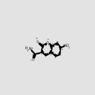 NC(=O)c1cc2ccc([N+](=O)[O-])cc2oc1=O